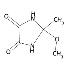 COC1(C)NC(=O)C(=O)N1